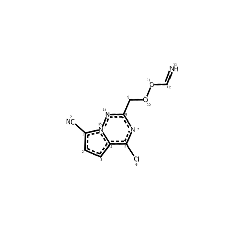 N#Cc1ccc2c(Cl)nc(COOC=N)nn12